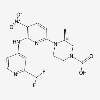 C[C@H]1CN(C(=O)O)CCN1c1ccc([N+](=O)[O-])c(Nc2ccnc(C(F)F)c2)n1